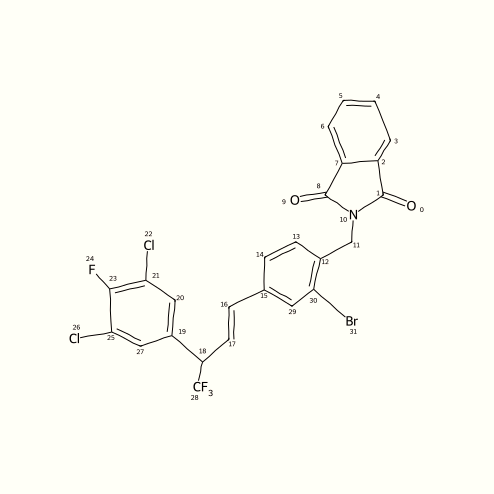 O=C1c2ccccc2C(=O)N1Cc1ccc(/C=C/C(c2cc(Cl)c(F)c(Cl)c2)C(F)(F)F)cc1Br